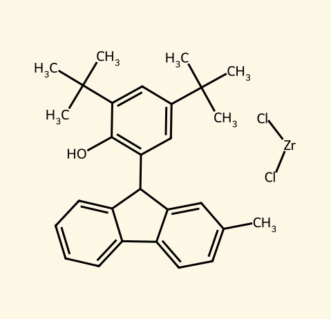 Cc1ccc2c(c1)C(c1cc(C(C)(C)C)cc(C(C)(C)C)c1O)c1ccccc1-2.[Cl][Zr][Cl]